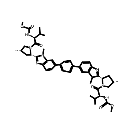 COC(=O)N[C@H](C(=O)N1C[C@@H](C)C[C@H]1C1=Nc2ccc(-c3ccc(-c4ccc5nc([C@@H]6C[C@H](C)CN6C(=O)[C@@H](NC(=O)OC)C(C)C)n(C)c5c4)cc3)cc2C1C)C(C)C